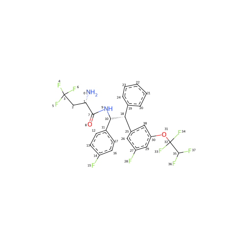 N[C@@H](CC(F)(F)F)C(=O)NC(c1ccc(F)cc1)[C@H](c1ccccc1)c1cc(F)cc(OC(F)(F)C(F)F)c1